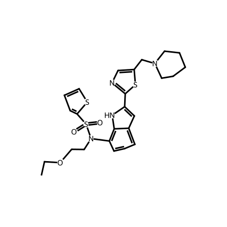 CCOCCN(c1cccc2cc(-c3ncc(CN4CCCCC4)s3)[nH]c12)S(=O)(=O)c1cccs1